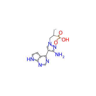 [CH2]C(Cn1cc(-c2ncnc3[nH]ccc23)c(N)n1)S(=O)(=O)O